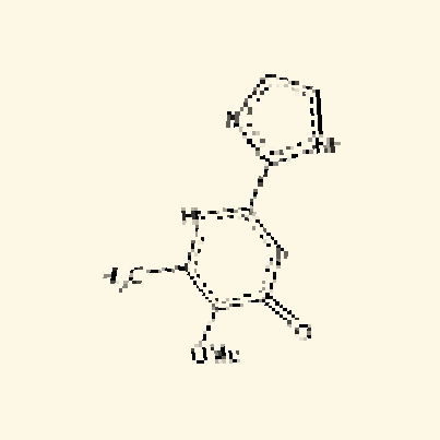 COc1c(C)[nH]c(-c2ncc[nH]2)nc1=O